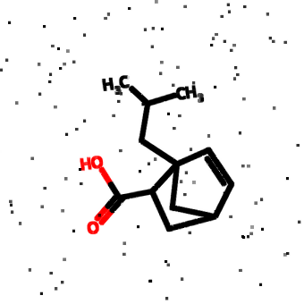 C[C](C)CC12C=CC(CC1C(=O)O)C2